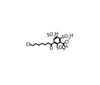 O=C(CCCCCCCl)c1cc(S(=O)(=O)O)c(S(=O)(=O)O)c(C(=O)Cl)c1S(=O)(=O)O